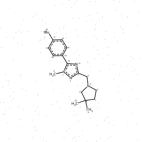 Cn1nc(CN2CCC(C)(C)C2)nc1-c1ccc(C(C)(C)C)cc1